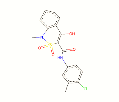 Cc1cc(NC(=O)C2=C(O)c3ccccc3N(C)S2(=O)=O)ccc1Cl